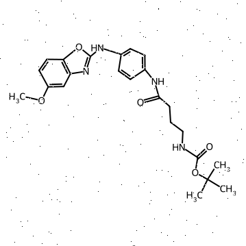 COc1ccc2oc(Nc3ccc(NC(=O)CCCNC(=O)OC(C)(C)C)cc3)nc2c1